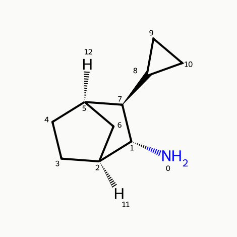 N[C@@H]1[C@H]2CC[C@H](C2)[C@H]1C1CC1